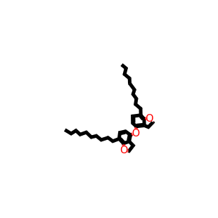 CCCCCCCCCCc1ccc(Oc2ccc(CCCCCCCCCC)c3c2CCO3)c2c1OCC2